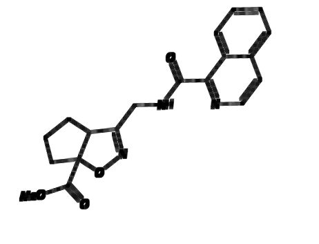 COC(=O)C12CCCC1C(CNC(=O)c1nccc3ccccc13)=NO2